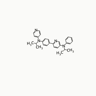 CC(C)N(c1ccncc1)c1ccc(-c2ccc(N(c3ccccc3)C(C)C)cn2)cc1